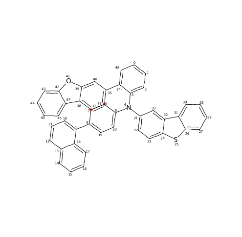 c1ccc(N(c2ccc(-c3cccc4ccccc34)cc2)c2ccc3sc4ccccc4c3c2)c(-c2ccc3c(c2)oc2ccccc23)c1